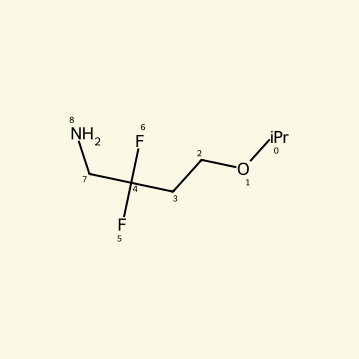 CC(C)OCCC(F)(F)CN